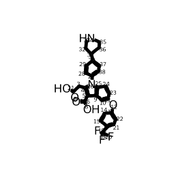 O=C(O)Cc1c(C(=O)O)c2cc(Oc3ccc(C(F)(F)F)cc3)ccc2n1-c1ccc(C2CCNCC2)cc1